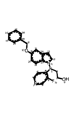 OCCN(c1ccncc1F)n1ccc2cc(OCc3ccccc3)ccc21